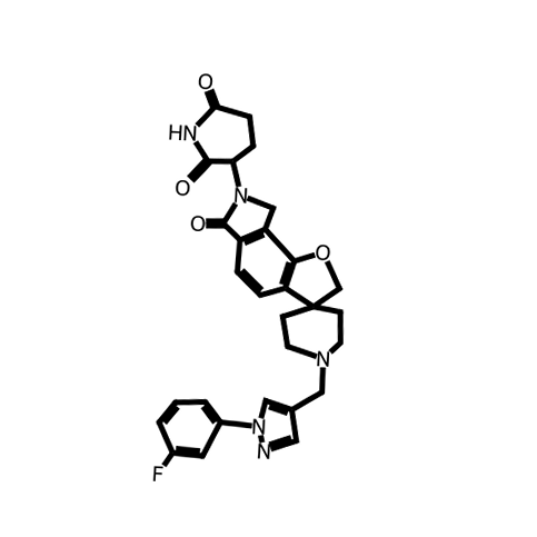 O=C1CCC(N2Cc3c(ccc4c3OCC43CCN(Cc4cnn(-c5cccc(F)c5)c4)CC3)C2=O)C(=O)N1